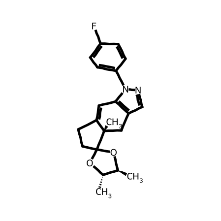 C[C@@H]1OC2(CCC3=Cc4c(cnn4-c4ccc(F)cc4)C[C@@]32C)O[C@H]1C